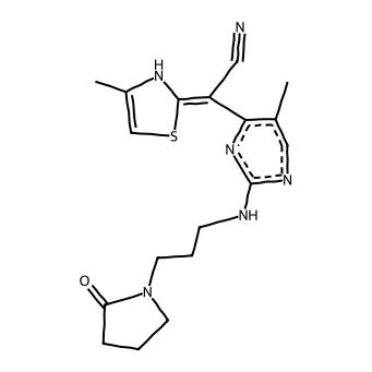 CC1=CS/C(=C(/C#N)c2nc(NCCCN3CCCC3=O)ncc2C)N1